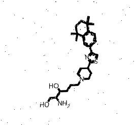 CC1(C)CCC(C)(C)c2cc(-c3csc(C4CCN(CCCC(O)C(N)CO)CC4)n3)ccc21